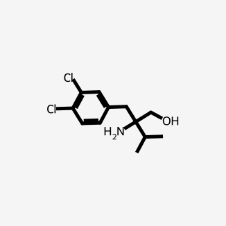 CC(C)C(N)(CO)Cc1ccc(Cl)c(Cl)c1